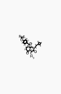 CC1C(=O)N(CCC2CCC2)CC2N(C(=O)c3ccc(OC(F)F)cc3)CCC(=O)N12